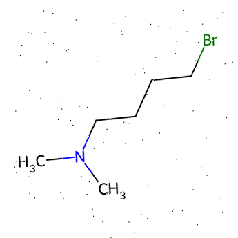 CN(C)CCCCBr